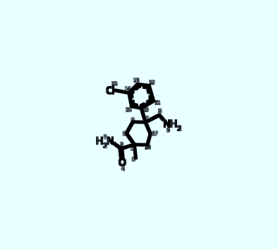 CC1(C(N)=O)CCC(CN)(c2cccc(Cl)c2)CC1